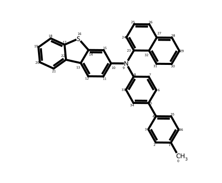 Cc1ccc(-c2ccc(N(c3ccc4c(c3)sc3ccccc34)c3cccc4ccccc34)cc2)cc1